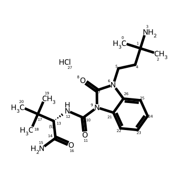 CC(C)(N)CCn1c(=O)n(C(=O)N[C@H](C(N)=O)C(C)(C)C)c2ccccc21.Cl